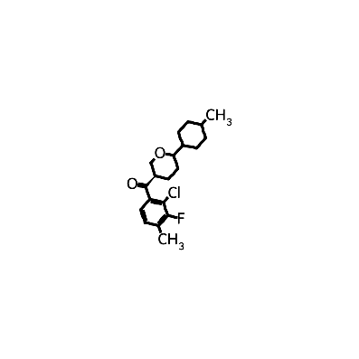 Cc1ccc(C(=O)[C@@H]2CCC(C3CCC(C)CC3)OC2)c(Cl)c1F